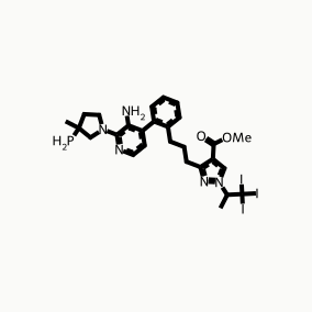 COC(=O)c1cn(C(C)C(I)(I)I)nc1CCCc1ccccc1-c1ccnc(N2CCC(C)(P)C2)c1N